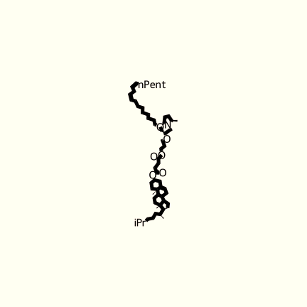 CCCCC/C=C\C/C=C\CCCCCCCCOC[C@@H](CN1CCC[C@H]1C)OCCCOC(=O)CCC(=O)O[C@H]1CC[C@@]2(C)C(=CCC3C2CC[C@@]2(C)C3CC[C@@H]2[C@H](C)CCCC(C)C)C1